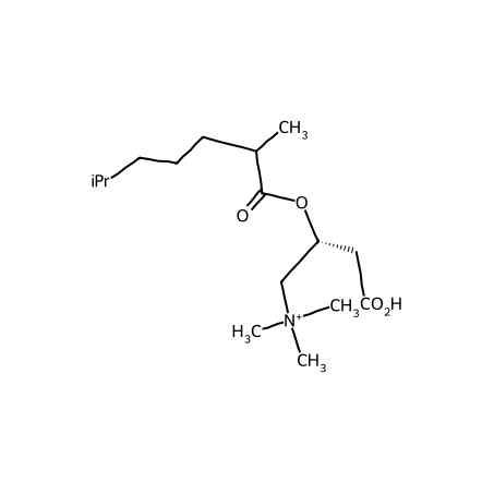 CC(C)CCCC(C)C(=O)O[C@H](CC(=O)O)C[N+](C)(C)C